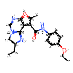 CCOc1ccc(NC(=O)c2c(C)oc3c2C2=NC(CC)CN2C=N3)cc1